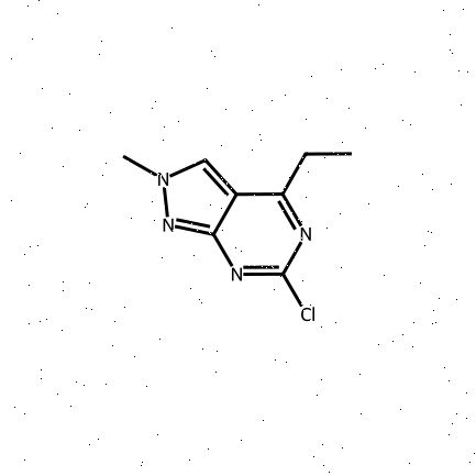 CCc1nc(Cl)nc2nn(C)cc12